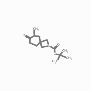 CC1CC2(CCC1=O)CN(C(=O)OC(C)(C)C)C2